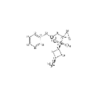 C[C@H]1C[C@@H](S(=O)(=O)C2(COCc3ccccc3)CC2)C1